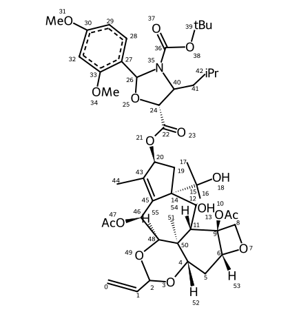 C=CC1O[C@H]2C[C@H]3OC[C@@]3(OC(C)=O)[C@H]3[C@H](O)[C@]4(C(C)(C)O)C[C@H](OC(=O)[C@@H]5OC(c6ccc(OC)cc6OC)N(C(=O)OC(C)(C)C)C5CC(C)C)C(C)=C4[C@H](OC(C)=O)[C@H](O1)[C@]23C